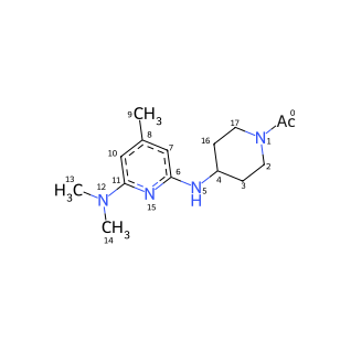 CC(=O)N1CCC(Nc2cc(C)cc(N(C)C)n2)CC1